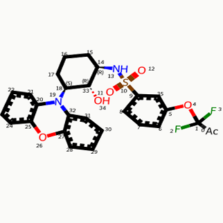 CC(=O)C(F)(F)Oc1cccc(S(=O)(=O)N[C@@H]2CCC[C@H](N3c4ccccc4Oc4ccccc43)[C@H]2O)c1